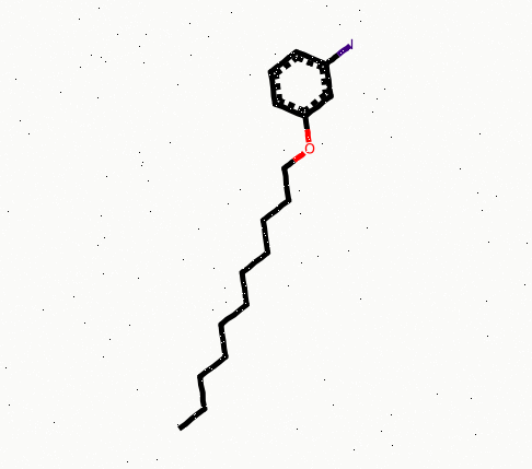 CCCCCCCCCCCOc1cccc(I)c1